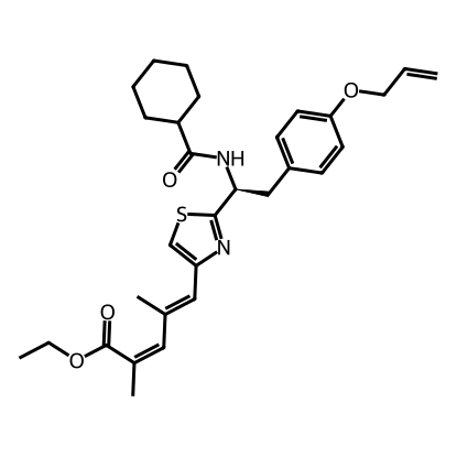 C=CCOc1ccc(C[C@H](NC(=O)C2CCCCC2)c2nc(/C=C(C)/C=C(/C)C(=O)OCC)cs2)cc1